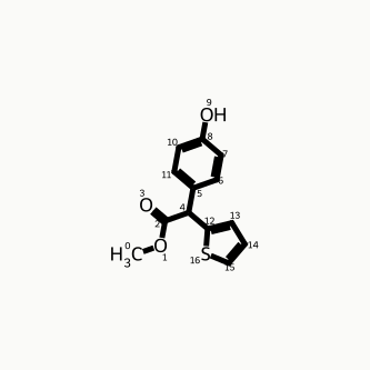 COC(=O)C(c1ccc(O)cc1)c1cccs1